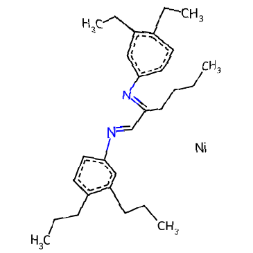 CCCCC(C=Nc1ccc(CCC)c(CCC)c1)=Nc1ccc(CC)c(CC)c1.[Ni]